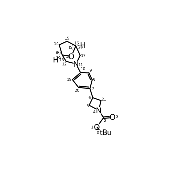 CC(C)(C)OC(=O)N1CC(c2ccc(N3C[C@H]4CC[C@@H](C3)O4)cc2)C1